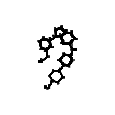 CN1CCN(c2ccc(Nc3ncc4ccc(-c5cccc(CO)c5)n4n3)cc2)CC1